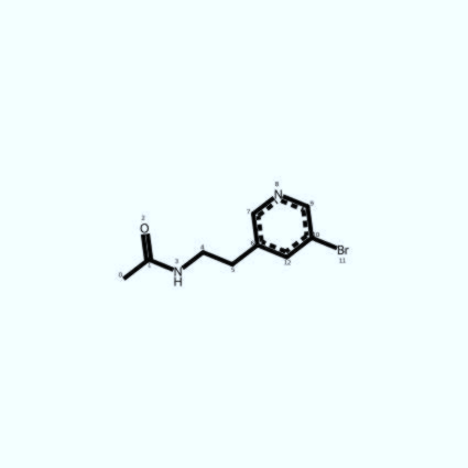 CC(=O)NCCc1cncc(Br)c1